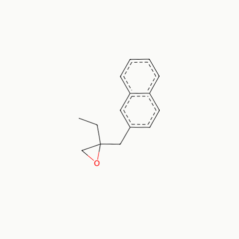 CCC1(Cc2ccc3ccccc3c2)CO1